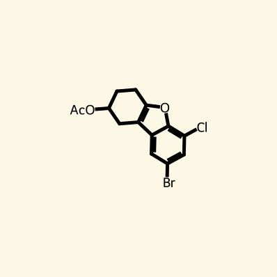 CC(=O)OC1CCc2oc3c(Cl)cc(Br)cc3c2C1